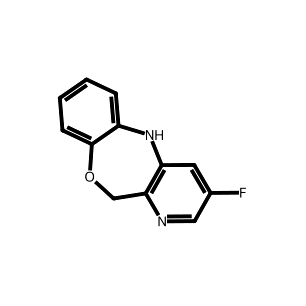 Fc1cnc2c(c1)Nc1ccccc1OC2